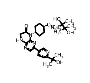 CC(C)(O)C(C)(C)O.CO[C@H]1CC[C@H](N2C(=O)CNc3ncc(-c4ccc(C(C)(C)O)nc4)nc32)CC1